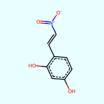 O=[N+]([O-])C=Cc1ccc(O)cc1O